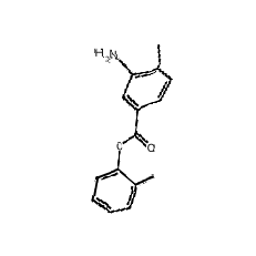 Cc1ccc(C(=O)Oc2ccccc2C)cc1N